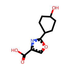 O=C(O)c1coc(C2CCC(O)CC2)n1